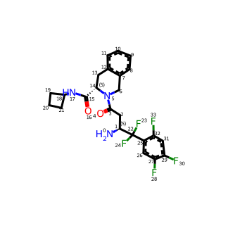 N[C@@H](CC(=O)N1Cc2ccccc2C[C@H]1C(=O)NC1CCC1)C(F)(F)c1cc(F)c(F)cc1F